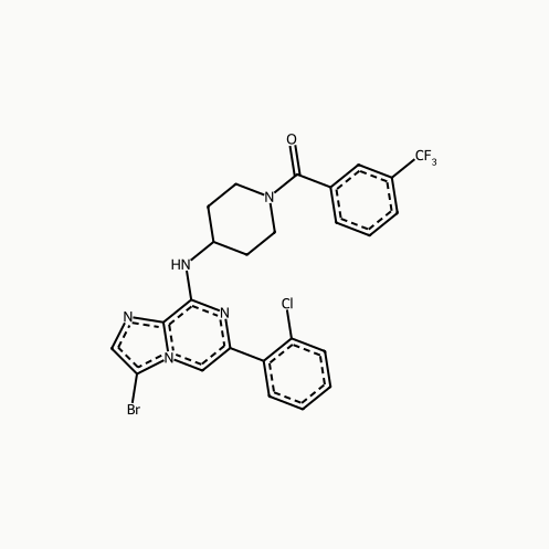 O=C(c1cccc(C(F)(F)F)c1)N1CCC(Nc2nc(-c3ccccc3Cl)cn3c(Br)cnc23)CC1